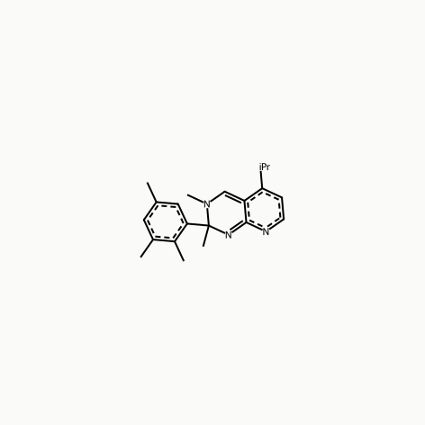 Cc1cc(C)c(C)c(C2(C)N=c3nccc(C(C)C)c3=CN2C)c1